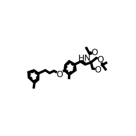 CC(=O)NC1(/C=C/c2ccc(OCCCc3cccc(C)c3)c(C)c2)COC(C)(C)OC1